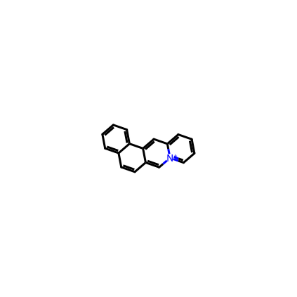 c1ccc2c(c1)ccc1c[n+]3ccccc3cc12